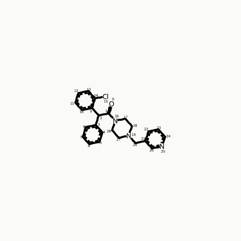 O=C([C](c1ccccc1)c1ccccc1Cl)N1CCN(Cc2cccnc2)CC1